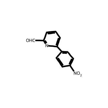 O=Cc1cccc(-c2ccc([N+](=O)[O-])cc2)n1